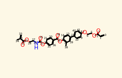 C=CC(=O)OCCOc1ccc(-c2ccc(OC(=O)c3ccc(OC(=O)NCCOC(=O)C(=C)C)cc3)c(C)c2)cc1